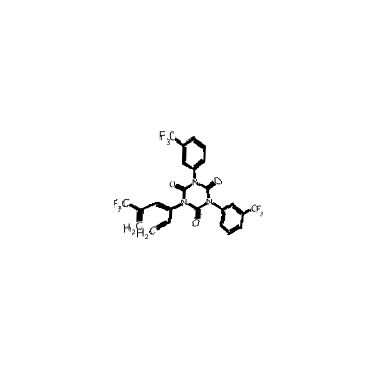 C=C/C(=C\C(=C)C(F)(F)F)n1c(=O)n(-c2cccc(C(F)(F)F)c2)c(=O)n(-c2cccc(C(F)(F)F)c2)c1=O